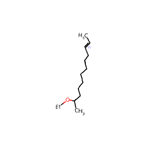 C/C=C/CCCCCCCC(C)OCC